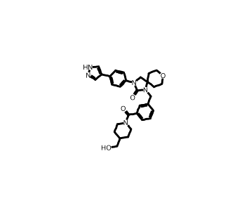 O=C(c1cccc(CN2C(=O)N(c3ccc(-c4cn[nH]c4)cc3)CC23CCOCC3)c1)N1CCC(CO)CC1